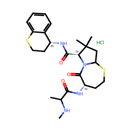 CNC(C)C(=O)N[C@H]1CCSC2CC(C)(C)[C@@H](C(=O)N[C@@H]3CCSc4ccccc43)N2C1=O.Cl